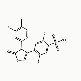 Cc1ccc(-n2c(-c3cc(F)c(S(N)(=O)=O)cc3F)coc2=O)cc1F